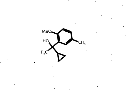 COc1ccc(C)cc1C(O)(C1CC1)C(F)(F)F